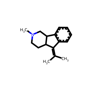 CC(C)=C1c2ccccc2C2CN(C)CCC12